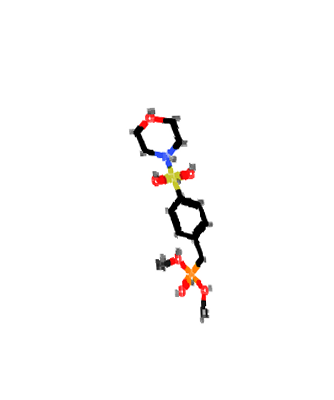 CCOP(=O)(Cc1ccc(S(=O)(=O)N2CCOCC2)cc1)OCC